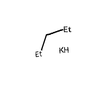 [CH2]CCCC.[KH]